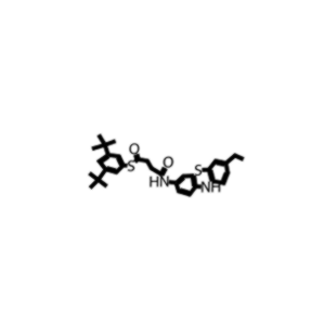 CCc1ccc2c(c1)Sc1cc(NC(=O)CCC(=O)Sc3cc(C(C)(C)C)cc(C(C)(C)C)c3)ccc1N2